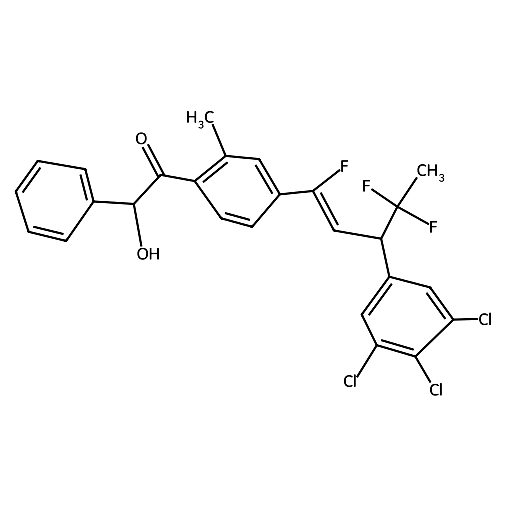 Cc1cc(/C(F)=C/C(c2cc(Cl)c(Cl)c(Cl)c2)C(C)(F)F)ccc1C(=O)C(O)c1ccccc1